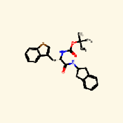 CC(C)(C)OC(=O)N[C@@H](Cc1csc2ccccc12)C(=O)NC1Cc2ccccc2C1